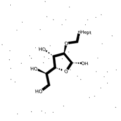 CCCCCCCCO[C@@H]1[C@@H](O)[C@@H]([C@H](O)CO)O[C@H]1O